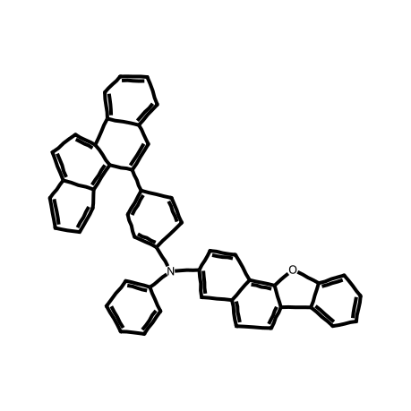 c1ccc(N(c2ccc(-c3cc4ccccc4c4ccc5ccccc5c34)cc2)c2ccc3c(ccc4c5ccccc5oc34)c2)cc1